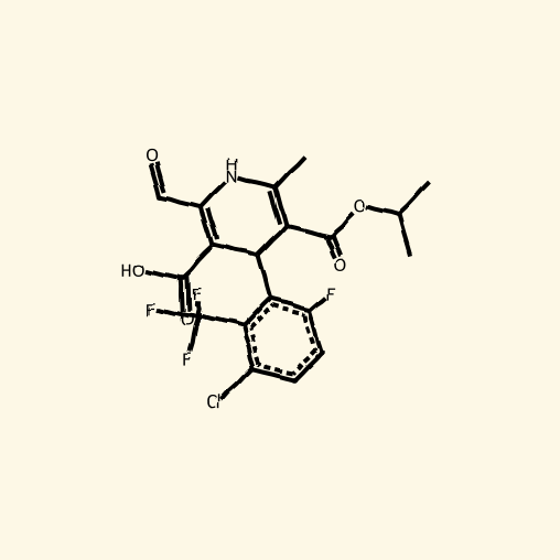 CC1=C(C(=O)OC(C)C)C(c2c(F)ccc(Cl)c2C(F)(F)F)C(C(=O)O)=C(C=O)N1